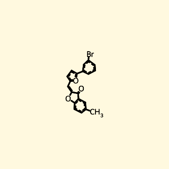 Cc1ccc2c(c1)C(=O)C(=Cc1ccc(-c3cccc(Br)c3)o1)O2